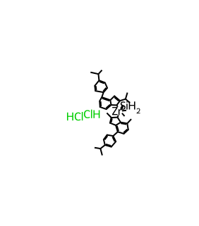 CC1=Cc2c(-c3ccc(C(C)C)cc3)ccc(C)c2[CH]1[Zr]([CH3])([CH3])(=[SiH2])[CH]1C(C(C)C)=Cc2c(-c3ccc(C(C)C)cc3)cccc21.Cl.Cl